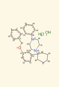 Cl.Cl.c1ccc(COc2cccc(C3(N4CCN(c5ccccc5)CC4)CCCCC3)c2)cc1